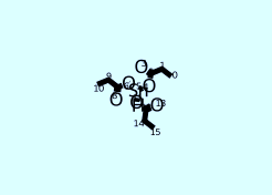 CCC(=O)[O][SnH]([O]C(=O)CC)[O]C(=O)CC